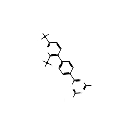 Cc1nc(C)nc(-c2ccc(-c3ccc(C(C)(C)C)nc3C(C)(C)C)cc2)n1